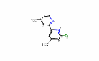 Cc1ccnc(-c2cc(C)cc(Br)n2)c1